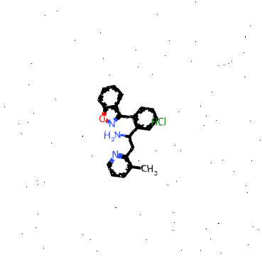 Cc1cccnc1CC(N)c1ccccc1-c1noc2ccccc12.Cl